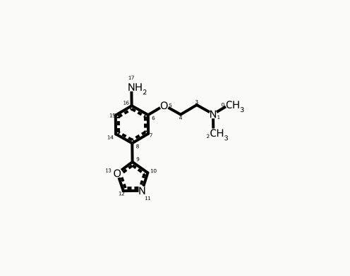 CN(C)CCOc1cc(-c2cnco2)ccc1N